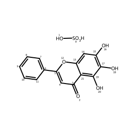 O=S(=O)(O)O.O=c1cc(-c2ccccc2)oc2cc(O)c(O)c(O)c12